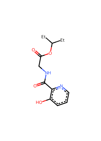 CCC(CC)OC(=O)CNC(=O)c1ncccc1O